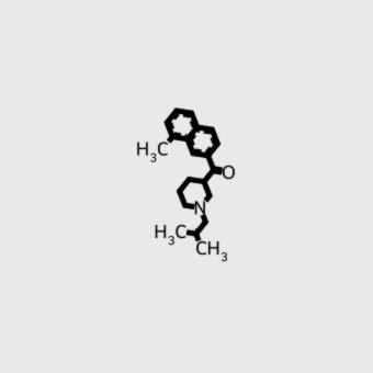 C[C](C)CN1CCCC(C(=O)c2ccc3cccc(C)c3c2)C1